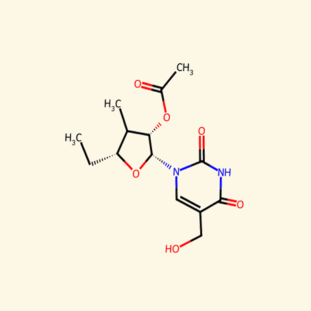 CC[C@H]1O[C@@H](n2cc(CO)c(=O)[nH]c2=O)[C@@H](OC(C)=O)C1C